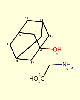 NCC(=O)O.OC12CC3CC(CC(C3)C1)C2